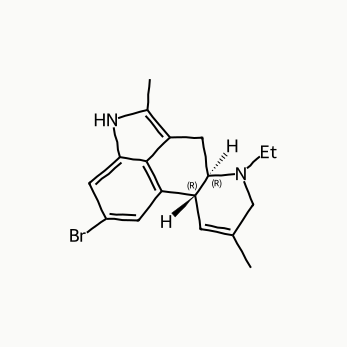 CCN1CC(C)=C[C@@H]2c3cc(Br)cc4[nH]c(C)c(c34)C[C@H]21